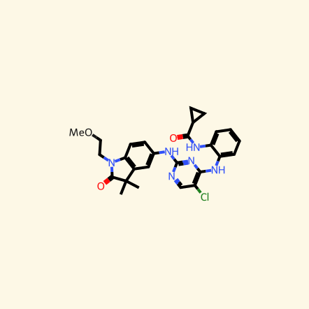 COCCN1C(=O)C(C)(C)c2cc(Nc3ncc(Cl)c(Nc4ccccc4NC(=O)C4CC4)n3)ccc21